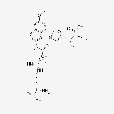 CC[C@H](C)[C@H](N)C(=O)O.COc1ccc2cc(C(C)C(=O)O)ccc2c1.N=C(N)NCCC[C@H](N)C(=O)O.c1cocn1